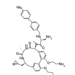 CCCCc1ccc(-c2ccc(CN[C@@H](CN)C(=O)N(C)[C@@H]3C(=O)N[C@@H](C)C(=O)N[C@H](CC4=NC4)Cc4ccc(OCCN)c(c4)-c4cc3ccc4OCCN)cc2)cc1